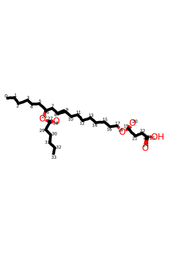 CCCCCCC(CC=CCCCCCCCCOC(=O)CCC(=O)O)OC(=O)CCCCC